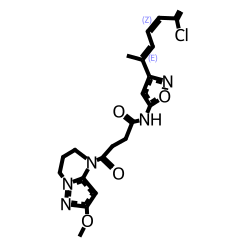 C=C(Cl)/C=C\C=C(/C)c1cc(NC(=O)CCC(=O)N2CCCn3nc(OC)cc32)on1